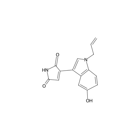 C=CCn1cc(C2=CC(=O)NC2=O)c2cc(O)ccc21